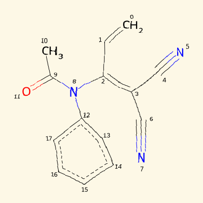 C=CC(=C(C#N)C#N)N(C(C)=O)c1ccccc1